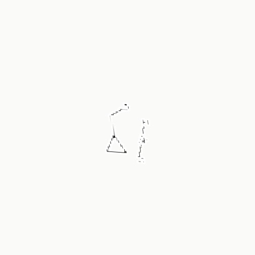 C[CH2][Al+][CH2]C.[O-]CC1CC1